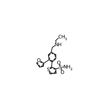 CCNCc1ccc(-c2sccc2S(N)(=O)=O)c(-c2ccco2)c1